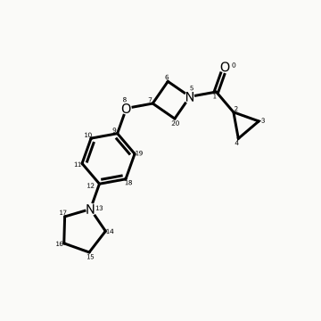 O=C(C1CC1)N1CC(Oc2ccc(N3CCCC3)cc2)C1